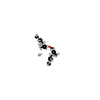 CC(CCOc1cc(NC(=O)c2ccc(-n3ccnc3)nn2)c(C(=O)[O-])cc1F)Oc1cc(NC(=O)c2ccc(-n3ccnc3)nn2)c(C(=O)[O-])cc1F.[Li+].[Li+]